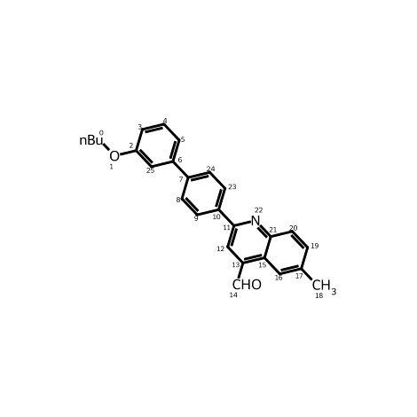 CCCCOc1cccc(-c2ccc(-c3cc(C=O)c4cc(C)ccc4n3)cc2)c1